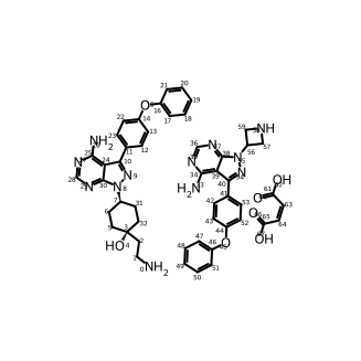 NCC[C@]1(O)CC[C@@H](n2nc(-c3ccc(Oc4ccccc4)cc3)c3c(N)ncnc32)CC1.Nc1ncnc2c1c(-c1ccc(Oc3ccccc3)cc1)nn2C1CNC1.O=C(O)/C=C\C(=O)O